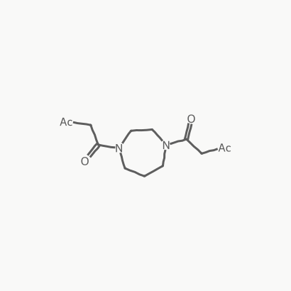 CC(=O)CC(=O)N1CCCN(C(=O)CC(C)=O)CC1